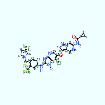 CN(C(=O)C1CC1)c1cn2ncc(Oc3cnc4nc(Nc5ccc(CN6CCC(F)(F)C6)c(C(F)(F)F)c5)n(C)c4c3Cl)c2cn1